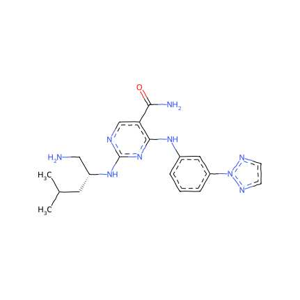 CC(C)C[C@H](CN)Nc1ncc(C(N)=O)c(Nc2cccc(-n3nccn3)c2)n1